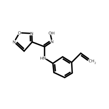 C=Cc1cccc(NC(=NO)c2cnon2)c1